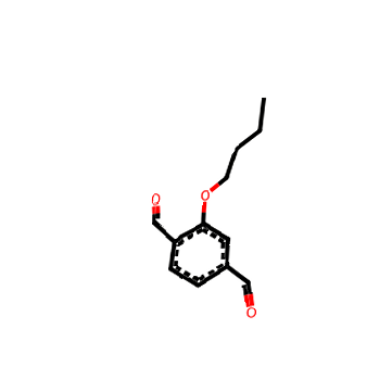 CCCCOc1cc(C=O)ccc1C=O